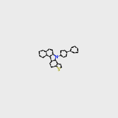 c1ccc(-c2ccc(-n3c4ccc5ccccc5c4c4ccc5sccc5c43)cc2)cc1